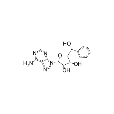 Nc1ncnc2c1ncn2[C@@H]1O[C@H]([C@H](O)c2ccccc2)[C@@H](O)[C@H]1O